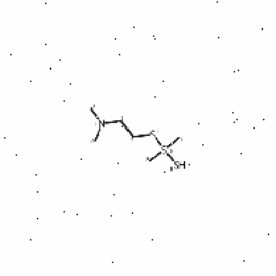 CN(C)CCSS(C)(C)S